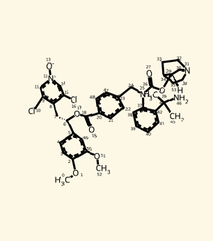 COc1ccc([C@H](Cc2c(Cl)c[n+]([O-])cc2Cl)OC(=O)c2ccc(CN(C(=O)O[C@H]3CN4CCC3CC4)c3ccccc3C(C)(C)N)cc2)cc1OC